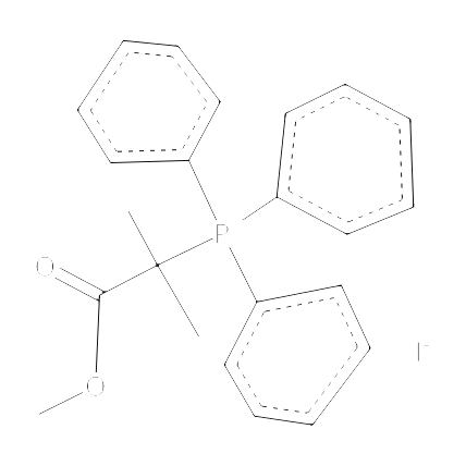 COC(=O)C(C)(C)[P+](c1ccccc1)(c1ccccc1)c1ccccc1.[I-]